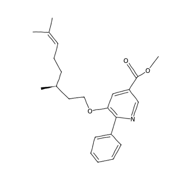 COC(=O)c1cnc(-c2ccccc2)c(OCC[C@@H](C)CCC=C(C)C)c1